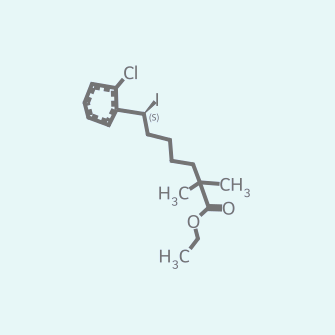 CCOC(=O)C(C)(C)CCCC[C@H](I)c1ccccc1Cl